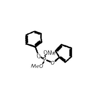 CO[P](OC)(Oc1ccccc1)Oc1ccccc1